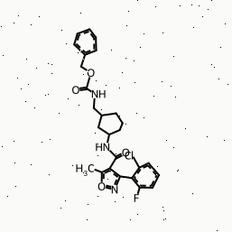 Cc1onc(-c2c(F)cccc2Cl)c1C(=O)NC1CCCC(CNC(=O)OCc2ccccc2)C1